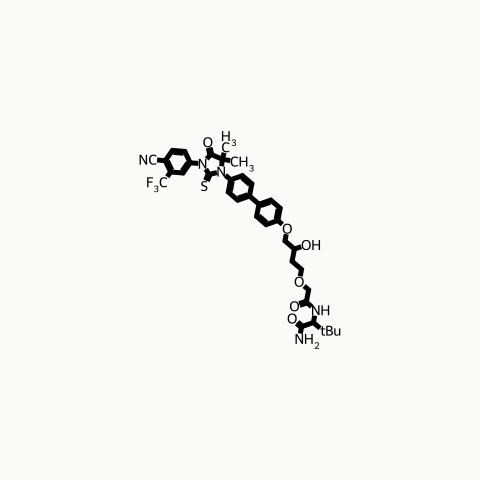 CC(C)(C)C(NC(=O)COCCC(O)COc1ccc(-c2ccc(N3C(=S)N(c4ccc(C#N)c(C(F)(F)F)c4)C(=O)C3(C)C)cc2)cc1)C(N)=O